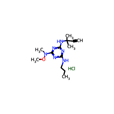 C#CC(C)(C)Nc1nc(NCCC)nc(N(C)OC)n1.Cl